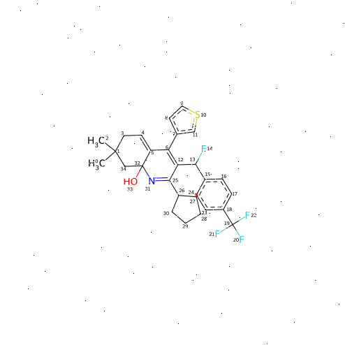 CC1(C)CC=C2C(c3ccsc3)=C(C(F)c3ccc(C(F)(F)F)cc3)C(C3CCCC3)=NC2(O)C1